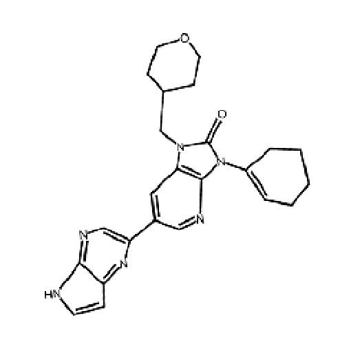 O=c1n(CC2CCOCC2)c2cc(-c3cnc4[nH]ccc4n3)cnc2n1C1=CCCCC1